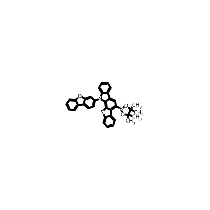 CC1(C)OB(c2cc3c4ccccc4n(-c4ccc5c(c4)oc4ccccc45)c3c3sc4ccccc4c23)OC1(C)C